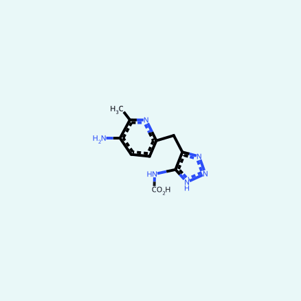 Cc1nc(Cc2nn[nH]c2NC(=O)O)ccc1N